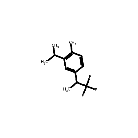 Cc1ccc(C(C)C(F)(F)F)cc1C(C)C